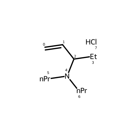 C=CC(CC)N(CCC)CCC.Cl